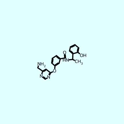 CC(NC(=O)c1cccc(Oc2cc(CN)ncn2)c1)c1ccccc1O